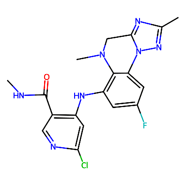 CNC(=O)c1cnc(Cl)cc1Nc1cc(F)cc2c1N(C)Cc1nc(C)nn1-2